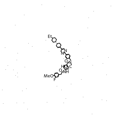 CC[C@H]1CC[C@H](C2CC=C(c3cnc(-c4ccc(CN(CC(=O)O)C(=O)c5ccc(NC(=O)Cc6ccc(OC)c(F)c6)cc5)cc4)nc3)CC2)CC1